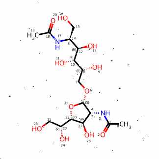 CC(=O)N[C@H]1[C@@H](OC[C@@H](O)[C@H](O)[C@H](O)[C@H](CO)NC(C)=O)O[C@@H]([C@H](O)CO)[C@@H]1O